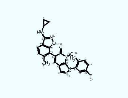 Cc1ccc2c(NC3CC3)noc2c1-c1cc2cnn(-c3cc(F)ccc3F)c2n(C)c1=O